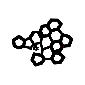 CC12Oc3ccccc3C1=CC=CC2N(c1ccccc1-c1ccccc1)c1ccccc1-c1cccc2cccc(-c3ccccc3)c12